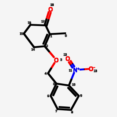 CC1=C(OCc2ccccc2[N+](=O)[O-])CCCC1=O